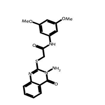 COc1cc(NC(=O)CSc2nc3ccccc3c(=O)n2N)cc(OC)c1